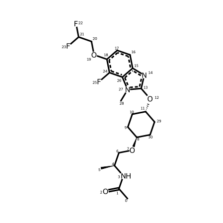 CC(=O)N[C@@H](C)CO[C@H]1CC[C@H](Oc2nc3ccc(OCC(F)F)c(F)c3n2C)CC1